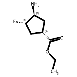 CCOC(=O)[C@H]1C[C@H](N)[C@@H](F)C1